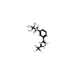 CC(C)(C)S(=O)(=O)c1[c]ccc(-c2noc(C(F)(F)F)n2)c1